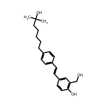 CC(C)(O)CCCCCc1ccc(/C=C/c2ccc(O)c(CO)c2)cc1